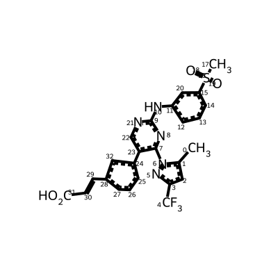 Cc1cc(C(F)(F)F)nn1-c1nc(Nc2cccc(S(C)(=O)=O)c2)ncc1-c1cccc(/C=C/C(=O)O)c1